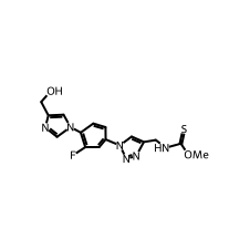 COC(=S)NCc1cn(-c2ccc(-n3cnc(CO)c3)c(F)c2)nn1